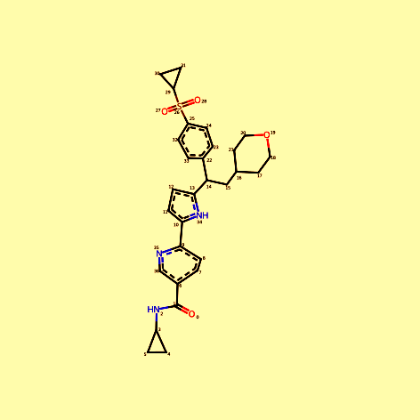 O=C(NC1CC1)c1ccc(-c2ccc(C(CC3CCOCC3)c3ccc(S(=O)(=O)C4CC4)cc3)[nH]2)nc1